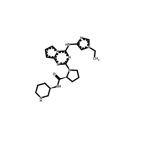 CCn1cnc(Nc2nc(N3CCC[C@H]3C(=O)N[C@@H]3CCCNC3)nc3cccn23)c1